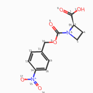 O=C(O)[C@H]1CCN1C(=O)OCc1ccc([N+](=O)[O-])cc1